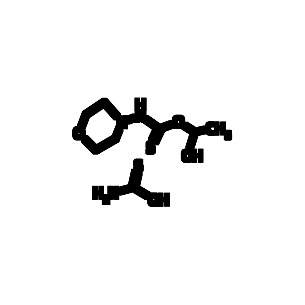 CC(O)OC(=S)NN1CCOCC1.NC(O)=S